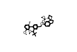 COC(=O)[C@@H]1CC[C@]12CCc1ccc(OCc3ccc(-c4cc(OC)ccc4F)c([C@H](OC)C(C)(C)C)c3)cc12